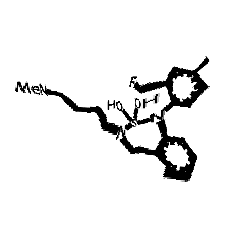 CNCCCCN1Cc2ccccc2N(c2ccc(C)cc2F)S1(O)O